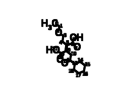 CCOCCC(C(=O)O)=C(CC(=O)C1CCCCC1)C(=O)O